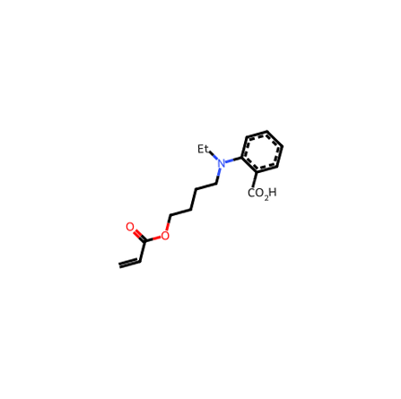 C=CC(=O)OCCCCN(CC)c1ccccc1C(=O)O